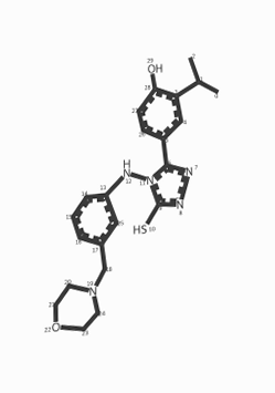 CC(C)c1cc(-c2nnc(S)n2Nc2cccc(CN3CCOCC3)c2)ccc1O